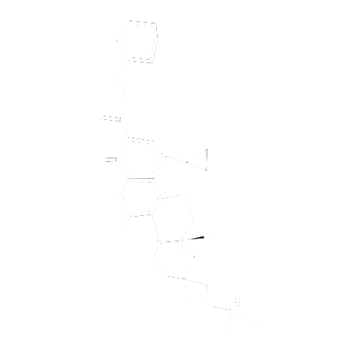 CS(=O)(=O)OC[C@@]1(O)CCN2c3c(F)cc4c(=O)c(C(=O)OCc5ccccc5)cn(C5CC5)c4c3OC[C@@H]2C1